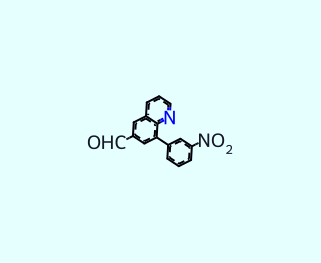 O=Cc1cc(-c2cccc([N+](=O)[O-])c2)c2ncccc2c1